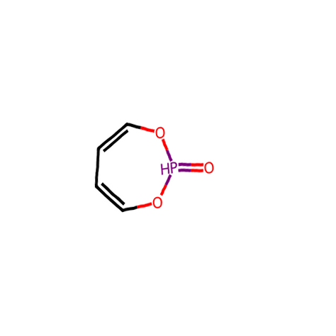 O=[PH]1OC=CC=CO1